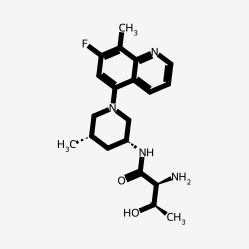 Cc1c(F)cc(N2C[C@@H](C)C[C@@H](NC(=O)[C@@H](N)[C@@H](C)O)C2)c2cccnc12